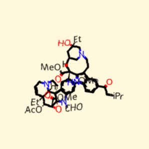 CC[C@]1(O)C[C@H]2CN(CCc3c([nH]c4ccc(C(=O)CC(C)C)cc34)[C@@](C(=O)OC)(c3cc4c(cc3OC)N(C=O)[C@@]35O[C@]3(C(=O)OC)[C@H](OC(C)=O)[C@]3(CC)C=CCN6CC[C@]45[C@@H]63)C2)C1